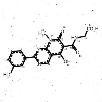 Cc1cccc(-c2ncc3c(O)c(C(=O)NCC(=O)O)c(=O)n(C)c3n2)c1